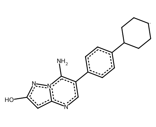 Nc1c(-c2ccc(C3CC[CH]CC3)cc2)cnc2cc(O)nn12